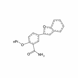 CCCOc1ccc(-c2cc3ccccc3o2)cc1C(N)=O